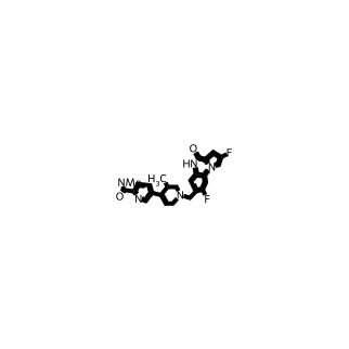 CNC(=O)c1ccc(C2=CCN(Cc3cc4[nH]c(=O)c5cc(F)cn5c4cc3F)CC2C)cn1